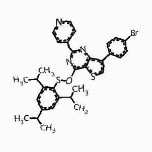 CC(C)c1cc(C(C)C)c(SOc2nc(-c3ccncc3)nc3c(-c4ccc(Br)cc4)csc23)c(C(C)C)c1